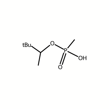 CC(OP(C)(=O)O)C(C)(C)C